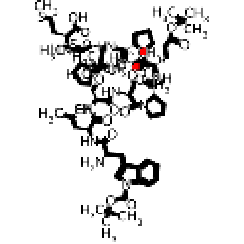 CSCC[C@H](NC(=O)[C@@H]1CCCN1C(=O)[C@H](CCSC)NC(=O)[C@@H]1CCCN1C(=O)[C@H](CCC(=O)OC(C)(C)C)NC(=O)[C@@H]1CCCN1C(=O)[C@@H](NC(=O)[C@H](COC(C)(C)C)NC(=O)[C@H](CC(C)C)NC(=O)[C@@H](N)Cc1cn(C(=O)OC(C)(C)C)c2ccccc12)[C@@H](C)OC(C)(C)C)C(=O)O